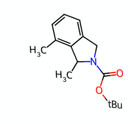 Cc1cccc2c1C(C)N(C(=O)OC(C)(C)C)C2